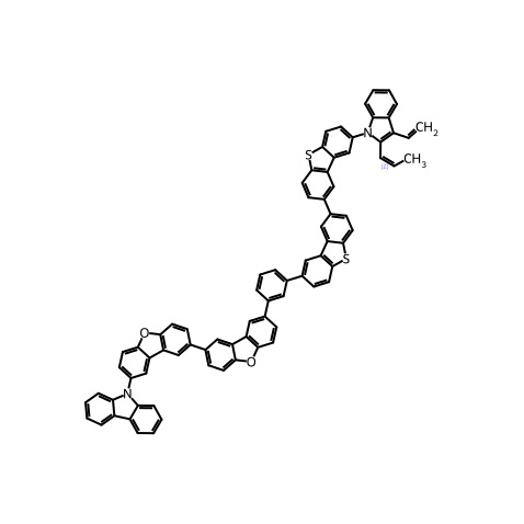 C=Cc1c(/C=C\C)n(-c2ccc3sc4ccc(-c5ccc6sc7ccc(-c8cccc(-c9ccc%10oc%11ccc(-c%12ccc%13oc%14ccc(-n%15c%16ccccc%16c%16ccccc%16%15)cc%14c%13c%12)cc%11c%10c9)c8)cc7c6c5)cc4c3c2)c2ccccc12